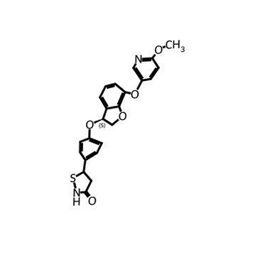 COc1ccc(Oc2cccc3c2OC[C@H]3Oc2ccc(C3CC(=O)NS3)cc2)cn1